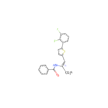 O=C(O)/C(=C/c1ccc(-c2cccc(F)c2F)s1)NC(=O)c1ccccc1